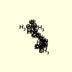 CCN[C@@H](C(=O)N[C@@H](C)c1nc2c([nH]1)CCCc1cc(-c3ccc(-c4cnc([C@@H]5CCCN5C(=O)[C@H](NCC)c5ccccc5)[nH]4)cc3)ccc1-2)c1ccccc1